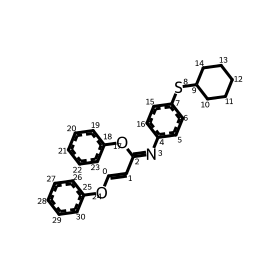 C(=CC(=Nc1ccc(SC2CCCCC2)cc1)Oc1ccccc1)Oc1ccccc1